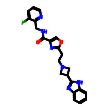 O=C(NCc1ncccc1F)c1coc(CCN2CC(c3nc4ccccc4[nH]3)C2)n1